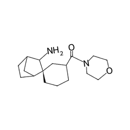 NC1C2CCC(C2)[C@]12CCCC(C(=O)N1CCOCC1)C2